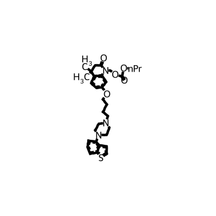 CCCOC(=O)OCN1C(=O)CC(C)(C)c2ccc(OCCCCN3CCN(c4cccc5sccc45)CC3)cc21